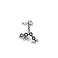 CC(C)NCCCCOc1ccc(-c2ccc(C(=O)O)cc2)cc1-c1ccc(N2CCCC2)c(C(C)(C)C)c1